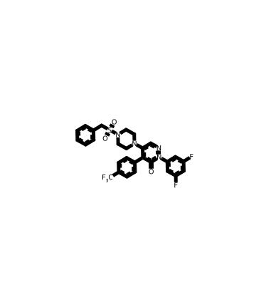 O=c1c(-c2ccc(C(F)(F)F)cc2)c(N2CCN(S(=O)(=O)Cc3ccccc3)CC2)cnn1-c1cc(F)cc(F)c1